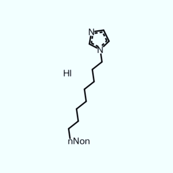 CCCCCCCCCCCCCCCCCn1ccnc1.I